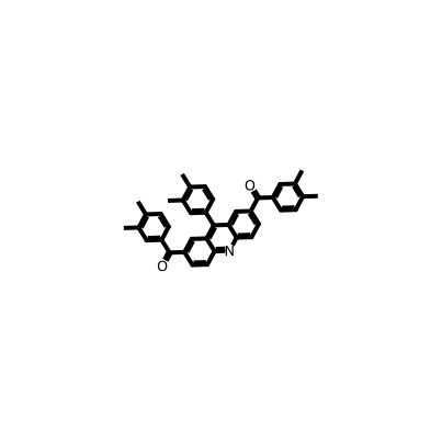 Cc1ccc(C(=O)c2ccc3nc4ccc(C(=O)c5ccc(C)c(C)c5)cc4c(-c4ccc(C)c(C)c4)c3c2)cc1C